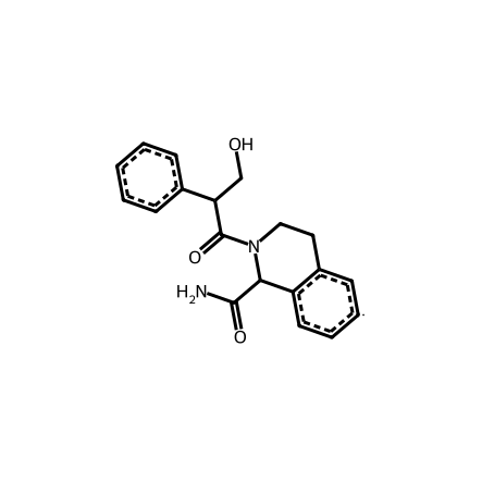 NC(=O)C1c2cc[c]cc2CCN1C(=O)C(CO)c1ccccc1